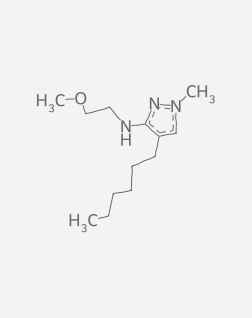 CCCCCCc1cn(C)nc1NCCOC